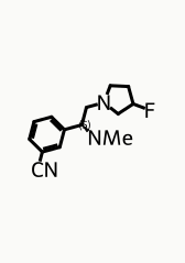 CN[C@H](CN1CCC(F)C1)c1cccc(C#N)c1